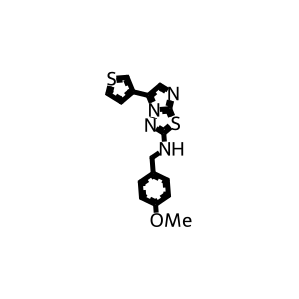 COc1ccc(CNc2nn3c(-c4ccsc4)cnc3s2)cc1